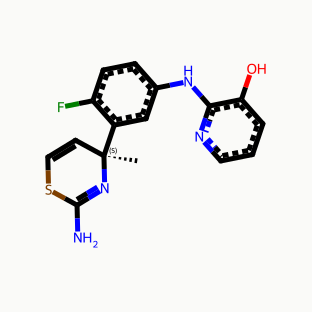 C[C@@]1(c2cc(Nc3ncccc3O)ccc2F)C=CSC(N)=N1